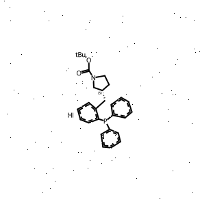 CC(C)(C)OC(=O)N1CC[C@H](Cc2ccccc2P(c2ccccc2)c2ccccc2)C1.I